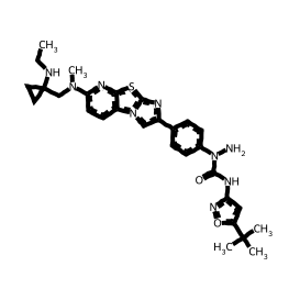 CCNC1(CN(C)c2ccc3c(n2)sc2nc(-c4ccc(N(N)C(=O)Nc5cc(C(C)(C)C)on5)cc4)cn23)CC1